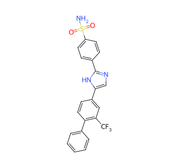 NS(=O)(=O)c1ccc(-c2ncc(-c3ccc(-c4ccccc4)c(C(F)(F)F)c3)[nH]2)cc1